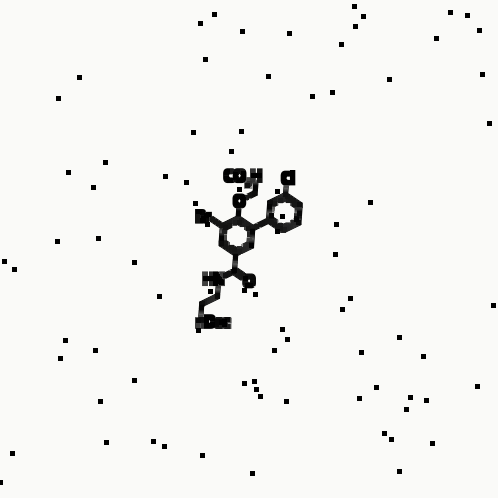 CCCCCCCCCCCCNC(=O)c1cc(Br)c(OCC(=O)O)c(-c2cccc(Cl)c2)c1